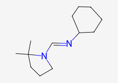 CC1(C)CCCN1/C=N/C1CCCCC1